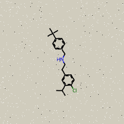 CC(C)c1cc(CCNCc2ccc(C(C)(C)C)cc2)ccc1Cl